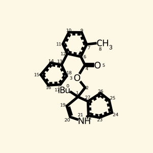 CCC(C)C1(COC(=O)c2c(C)cccc2-c2ccccc2)C=CNc2ccccc21